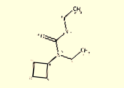 CC[N]C(=O)N(CC)C1CCC1